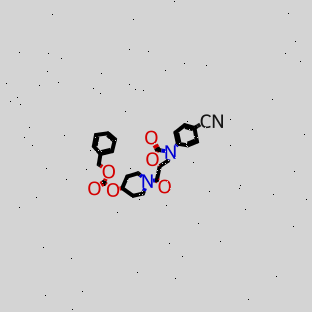 N#Cc1ccc(N2CC(C(=O)N3CCC(OC(=O)OCc4ccccc4)CC3)OC2=O)cc1